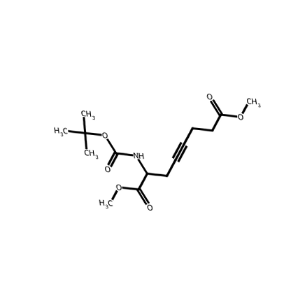 COC(=O)CCC#CCC(NC(=O)OC(C)(C)C)C(=O)OC